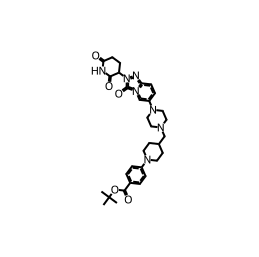 CC(C)(C)OC(=O)c1ccc(N2CCC(CN3CCN(c4ccc5nn(C6CCC(=O)NC6=O)c(=O)n5c4)CC3)CC2)cc1